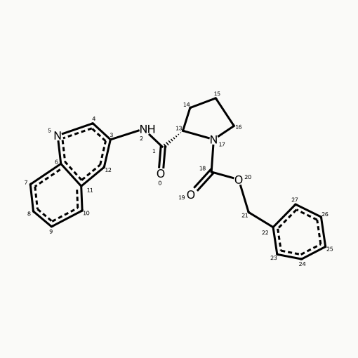 O=C(Nc1cnc2ccccc2c1)[C@@H]1CCCN1C(=O)OCc1ccccc1